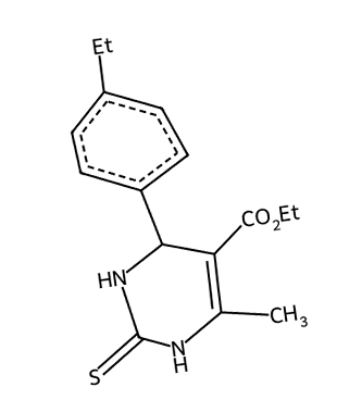 CCOC(=O)C1=C(C)NC(=S)NC1c1ccc(CC)cc1